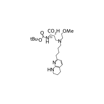 COCCN(CCCCc1ccc2c(n1)NCCC2)CC[C@H](NC(=O)OC(C)(C)C)C(=O)O